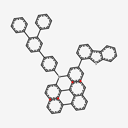 c1ccc(-c2ccc(-c3ccc(N(c4cccc(-c5cccc6c5sc5ccccc56)c4)c4ccccc4-c4cccc5cccc(-c6ccccc6)c45)cc3)cc2-c2ccccc2)cc1